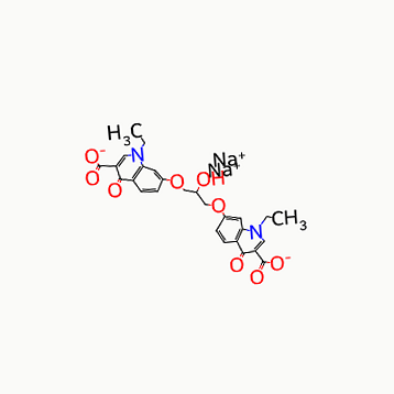 CCn1cc(C(=O)[O-])c(=O)c2ccc(OCC(O)COc3ccc4c(=O)c(C(=O)[O-])cn(CC)c4c3)cc21.[Na+].[Na+]